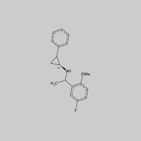 COc1ccc(F)cc1C(C)N[C@H]1CC1c1ccccc1